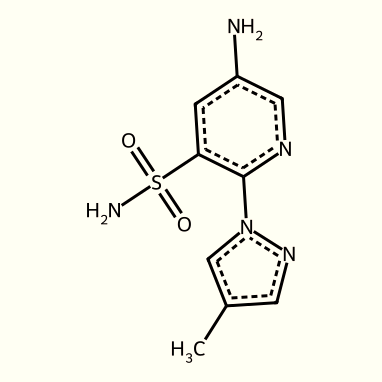 Cc1cnn(-c2ncc(N)cc2S(N)(=O)=O)c1